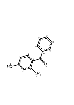 Cc1cc(O)ccc1C(=O)c1ccccc1